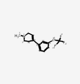 CN1CC=C(c2cccc(OC(F)(F)F)c2)CC1